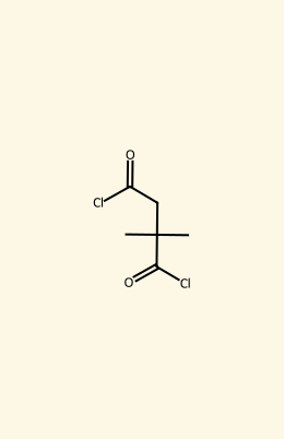 CC(C)(CC(=O)Cl)C(=O)Cl